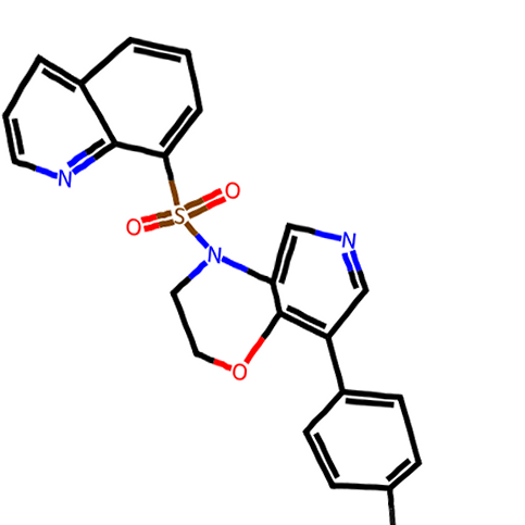 N#Cc1ccc(-c2cncc3c2OCCN3S(=O)(=O)c2cccc3cccnc23)cc1